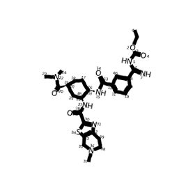 CCOC(=O)NC(=N)c1cccc(C(=O)N[C@H]2CC[C@H](C(=O)N(C)C)C[C@H]2NC(=O)c2nc3c(s2)CN(C)CC3)c1